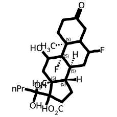 CCCC(O)(O)C1(C(=O)O)CC[C@H]2[C@@H]3CC(F)C4CC(=O)CC[C@]4(C)[C@]3(F)C(O)C[C@@]21C